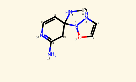 CC(C)NC1(N2NC=CO2)C=CN=C(N)C1